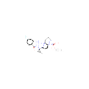 CC1CC1(NC(=O)c1ccc(F)cc1)c1ccc2c(n1)CCCN2C(=O)OC(C)(C)C